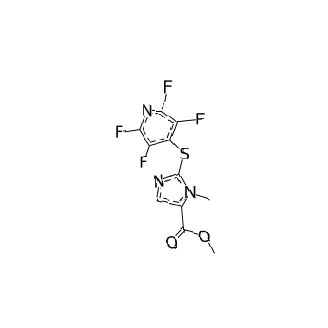 COC(=O)c1cnc(Sc2c(F)c(F)nc(F)c2F)n1C